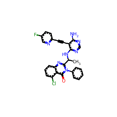 CC(Nc1ncnc(N)c1C#Cc1ccc(F)cn1)c1nc2cccc(Cl)c2c(=O)n1-c1ccccc1